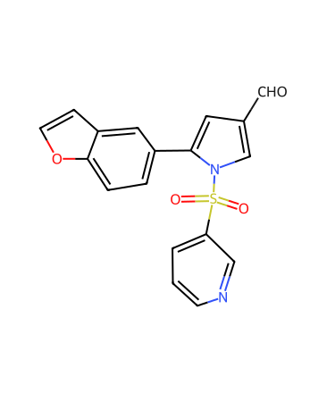 O=Cc1cc(-c2ccc3occc3c2)n(S(=O)(=O)c2cccnc2)c1